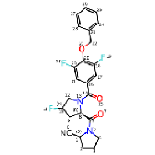 N#C[C@@H]1CCCN1C(=O)[C@H]1C[C@@H](F)CN1C(=O)c1cc(F)c(OCc2ccccc2)c(F)c1